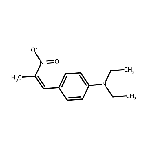 CCN(CC)c1ccc(/C=C(/C)[N+](=O)[O-])cc1